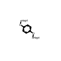 CCCCCCCOc1[c]cc(OCCCCCCC)[c]c1